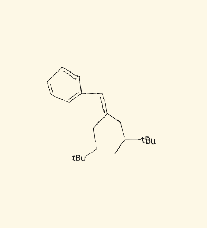 CC(CC(=Cc1ccccc1)CCC(C)(C)C)C(C)(C)C